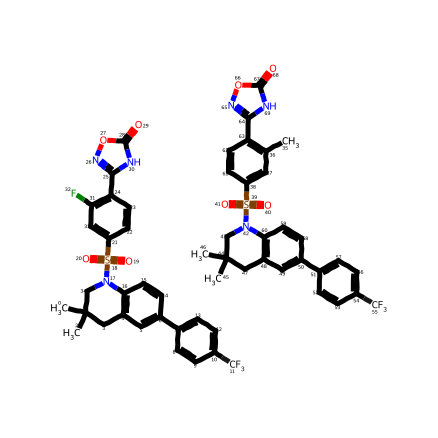 CC1(C)Cc2cc(-c3ccc(C(F)(F)F)cc3)ccc2N(S(=O)(=O)c2ccc(-c3noc(=O)[nH]3)c(F)c2)C1.Cc1cc(S(=O)(=O)N2CC(C)(C)Cc3cc(-c4ccc(C(F)(F)F)cc4)ccc32)ccc1-c1noc(=O)[nH]1